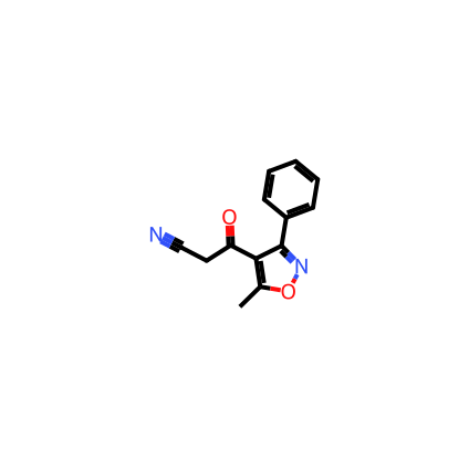 Cc1onc(-c2ccccc2)c1C(=O)CC#N